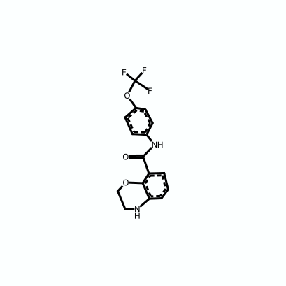 O=C(Nc1ccc(OC(F)(F)F)cc1)c1cccc2c1OCCN2